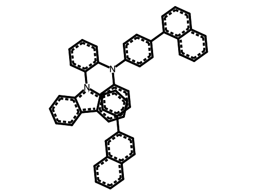 c1ccc(-n2c3ccccc3c3ccccc32)c(N(c2ccc(-c3ccc4ccccc4c3)cc2)c2ccc(-c3cccc4ccccc34)cc2)c1